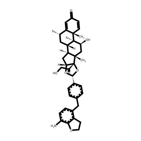 C[C@]12C=CC(=O)C=C1[C@@H](F)C[C@H]1[C@@H]3C[C@H]4O[C@@H](c5ccc(Cc6ccc(N)c7c6CCO7)cc5)O[C@@]4(C(=O)CO)[C@@]3(C)C[C@H](O)[C@@]12F